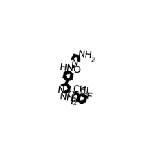 C[C@H](Oc1cc(-c2ccc(NC(=O)N3CCC(N)C3)cc2)cnc1N)c1c(F)ccc(F)c1Cl